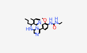 CCCC(Nc1cncc(-c2ccc(NC(=O)NCC)c(OC)c2)n1)c1cnccc1C